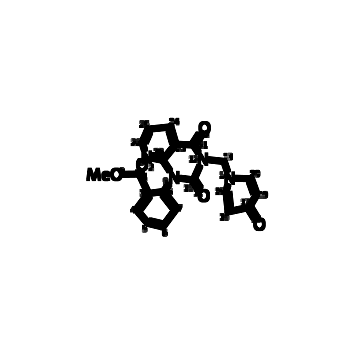 COC(=O)c1ccccc1-n1c(=O)n(Cn2ccc(=O)cc2)c(=O)c2cccnc21